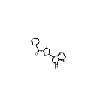 O=C(c1ccccc1)N1CCC(c2c[nH]c3ncccc23)C1